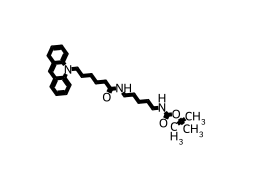 CC(C)(C)OC(=O)NCCCCCNC(=O)CCCCCN1C2=CC=CCC2=Cc2ccccc21